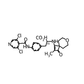 CC1=C(N[C@@H](Cc2ccc(NC(=O)c3c(Cl)cncc3Cl)cc2)C(=O)O)C2(CCOCC2)C1=O